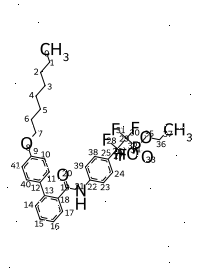 CCCCCCCCOc1ccc(-c2ccccc2C(=O)Nc2ccc(C(F)(F)C(F)(F)P(=O)(O)OCC)cc2)cc1